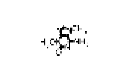 Cn1cnc2c1c(N)nc(=O)n2C